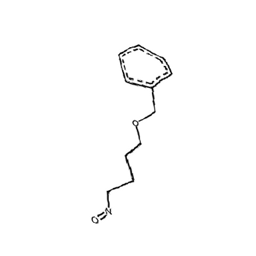 O=NCCCCOCc1ccccc1